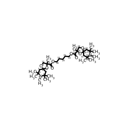 CN1C(C)(C)CC2(CC1(C)C)OCC(C)(C(=O)OCCCCCOC(=O)C1(C)COC3(CC(C)(C)N(C)C(C)(C)C3)O1)O2